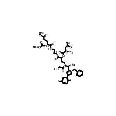 CC(C)(C)OC(=O)CCC(NC(=O)OC(C)(C)C)C(=O)NCCNC(=O)C(CCN(C(=O)CO)C(c1cc(-c2cc(F)ccc2F)cn1Cc1ccccc1)C(C)(C)C)NC(=O)[C@@H](N)CC(N)=O